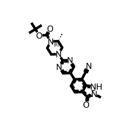 C[C@@H]1CN(c2ncc(-c3ccc4c(=O)n(C)[nH]c4c3C#N)cn2)CCN1C(=O)OC(C)(C)C